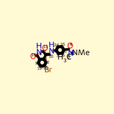 CNN(C)C(=O)c1ccc(N/C=C2\C(=O)NC(=O)c3ccc(Br)cc32)cc1